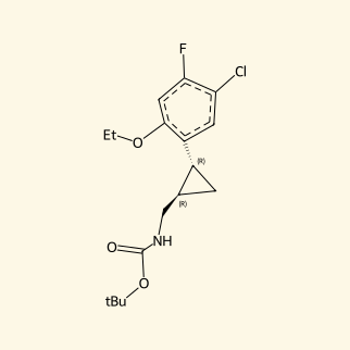 CCOc1cc(F)c(Cl)cc1[C@@H]1C[C@H]1CNC(=O)OC(C)(C)C